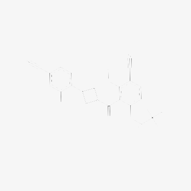 COc1c(C#N)ccc(O[C@@H](C)C(F)(F)F)c1C(=O)N1CC(c2ccc(C#N)cc2Cl)C1